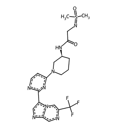 CS(C)(=O)=NCC(=O)N[C@H]1CCCN(c2ccnc(-c3cnc4cnc(C(F)(F)F)cn34)n2)C1